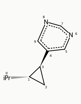 CC(C)[C@H]1C[C@@H]1c1cncnc1